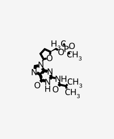 CC(C)C(=O)Nc1nc2c(ncn2[C@H]2CC[C@@H](COP(C)(C)=O)O2)c(=O)[nH]1